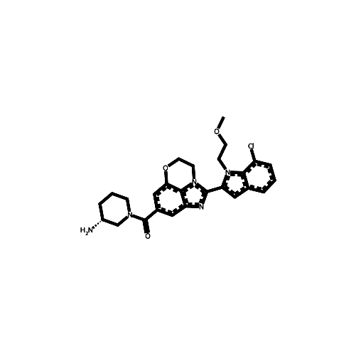 COCCn1c(-c2nc3cc(C(=O)N4CCC[C@@H](N)C4)cc4c3n2CCO4)cc2cccc(Cl)c21